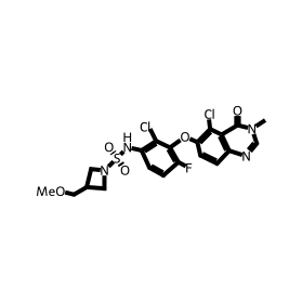 COCC1CN(S(=O)(=O)Nc2ccc(F)c(Oc3ccc4ncn(C)c(=O)c4c3Cl)c2Cl)C1